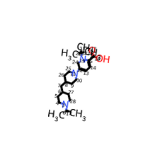 CC(C)N1CCC(CC2CCN(C3=CC=C(C(=O)O)N(C(C)(C)C)C3)CC2)CC1